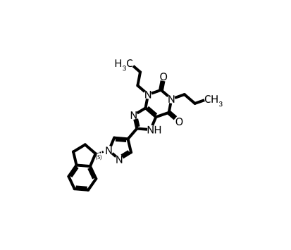 CCCn1c(=O)c2[nH]c(-c3cnn([C@H]4CCc5ccccc54)c3)nc2n(CCC)c1=O